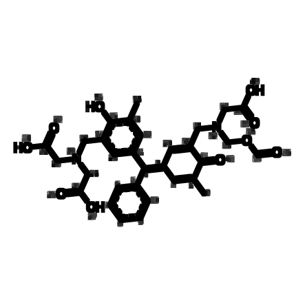 CC1=C/C(=C(\c2ccccc2)c2cc(C)c(O)c(CN(CC(=O)O)CC(=O)O)c2)C=C(CN(COC=O)CC(=O)O)C1=O